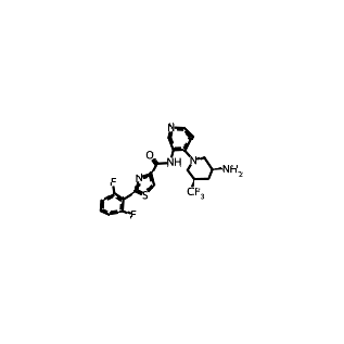 N[C@H]1C[C@@H](C(F)(F)F)CN(c2ccncc2NC(=O)c2csc(-c3c(F)cccc3F)n2)C1